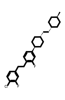 C[C@H]1CC[C@H](CC[C@H]2CC[C@H](c3ccc(CCc4ccc(Cl)c(F)c4)c(F)c3)CC2)CC1